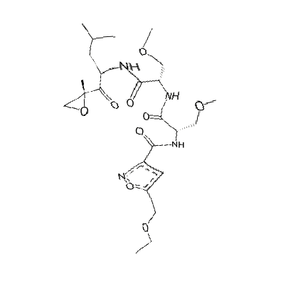 CCOCc1cc(C(=O)N[C@@H](COC)C(=O)N[C@@H](COC)C(=O)NC(CC(C)C)C(=O)[C@@]2(C)CO2)no1